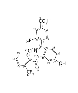 O=C(O)c1ccc(-c2nn(C(=O)c3c(Cl)cccc3C(F)(F)F)c3cc(O)ccc23)c(F)c1